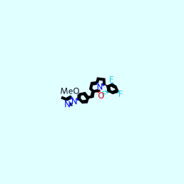 COc1cc(C=C2CC=C3CC[C@@H](c4c(F)cc(F)cc4F)N3C2=O)ccc1-n1cnc(C)c1